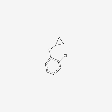 Clc1ccccc1SC1CC1